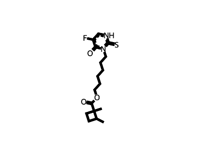 CC1CCC1(C)C(=O)OCCCCCCn1c(=S)[nH]cc(F)c1=O